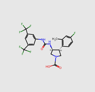 Cc1cc(F)ccc1[C@@H]1CN(C(=O)O)C[C@H]1NC(=O)Nc1cc(C(F)(F)F)cc(C(F)(F)F)c1